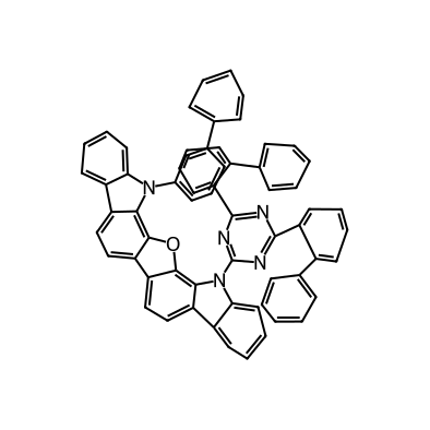 c1ccc(-c2cccc(-n3c4ccccc4c4ccc5c6ccc7c8ccccc8n(-c8nc(-c9ccccc9-c9ccccc9)nc(-c9ccccc9-c9ccccc9)n8)c7c6oc5c43)c2)cc1